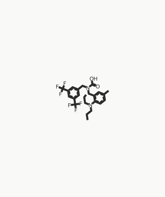 CCCN(CCC)c1ccc(C)cc1CN(Cc1cc(C(F)(F)F)cc(C(F)(F)F)c1)C(=O)O